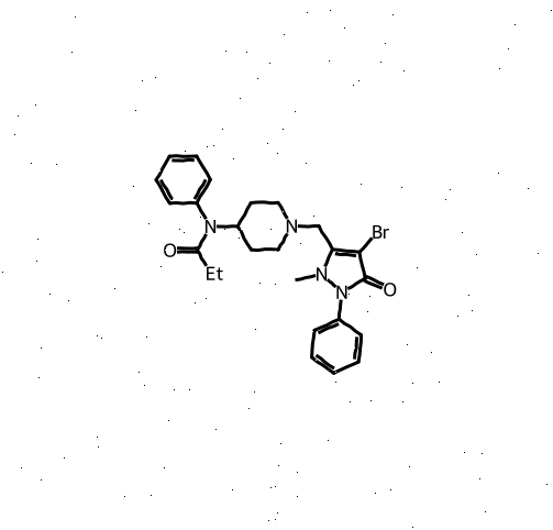 CCC(=O)N(c1ccccc1)C1CCN(Cc2c(Br)c(=O)n(-c3ccccc3)n2C)CC1